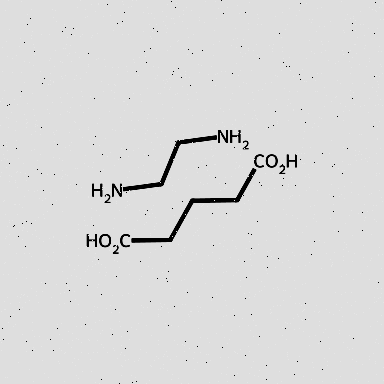 NCCN.O=C(O)CCCC(=O)O